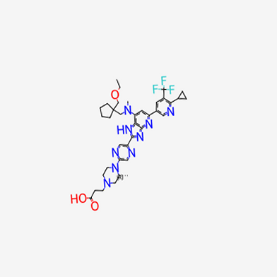 CCOCC1(CN(C)c2cc(-c3cnc(C4CC4)c(C(F)(F)F)c3)nc3nc(-c4cnc(N5CCN(CCC(=O)O)C[C@H]5C)cn4)[nH]c23)CCCC1